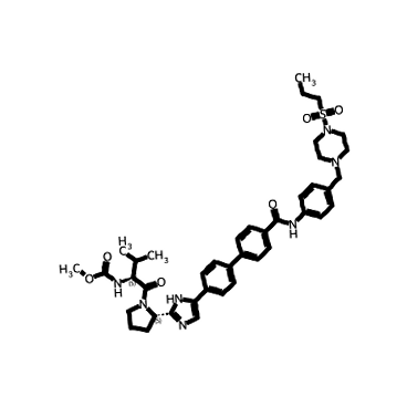 CCCS(=O)(=O)N1CCN(Cc2ccc(NC(=O)c3ccc(-c4ccc(-c5cnc([C@@H]6CCCN6C(=O)[C@@H](NC(=O)OC)C(C)C)[nH]5)cc4)cc3)cc2)CC1